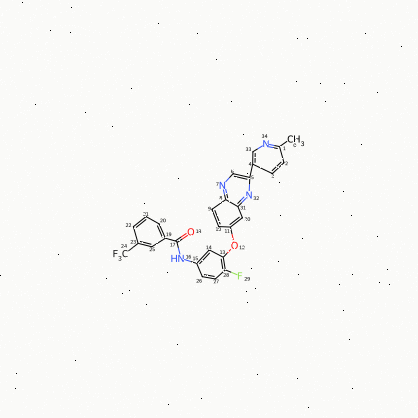 Cc1ccc(-c2cnc3ccc(Oc4cc(NC(=O)c5cccc(C(F)(F)F)c5)ccc4F)cc3n2)cn1